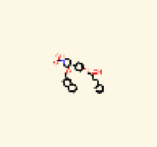 O=C(O)N1CCC(c2ccc(OCC(O)CCc3ccccc3)cc2)C(OCc2ccc3ccccc3c2)C1